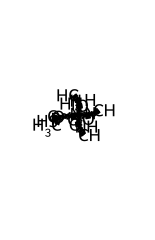 C#CCNC(=O)CCC(CCC(=O)NCC#C)(CCC(=O)NCC#C)NC(=O)CCCCOP(=O)(S)CC